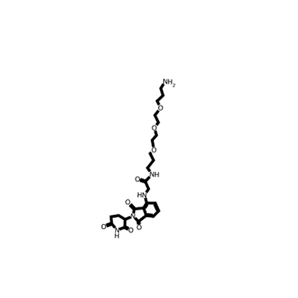 NCCCOCCOCCOCCCNC(=O)CNc1cccc2c1C(=O)N(C1CCC(=O)NC1=O)C2=O